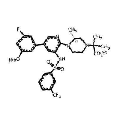 CCOC(=O)C(C)(C)N1CCN(c2ncc(-c3cc(F)cc(OC)c3)cc2NS(=O)(=O)c2cccc(C(F)(F)F)c2)[C@H](C)C1